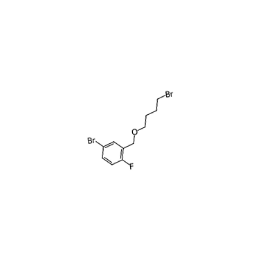 Fc1ccc(Br)cc1COCCCCBr